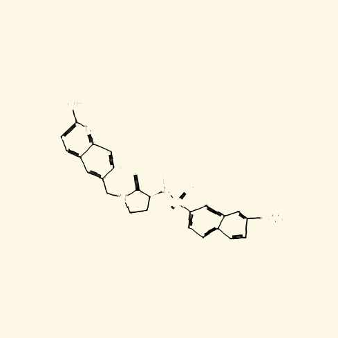 COc1ccc2ccc(S(=O)(=O)N[C@H]3CCN(Cc4ccc5nc(O)ccc5c4)C3=O)cc2c1